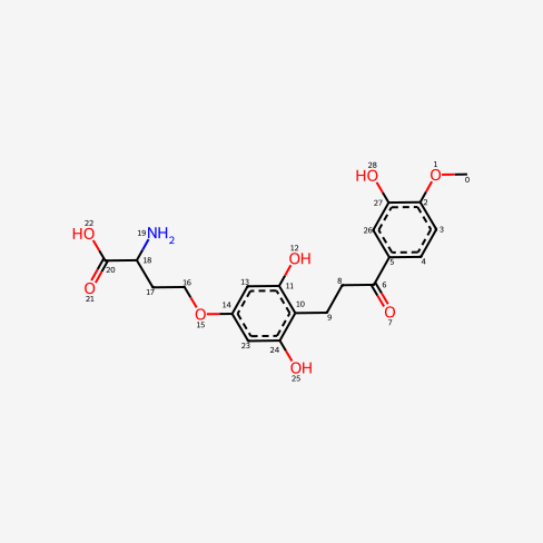 COc1ccc(C(=O)CCc2c(O)cc(OCCC(N)C(=O)O)cc2O)cc1O